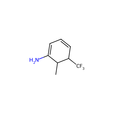 CC1C(N)=CC=CC1C(F)(F)F